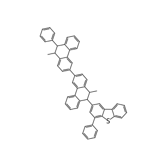 CC1c2ccc(-c3ccc4c(c3)-c3ccccc3C(c3cc(-c5ccccc5)c5sc6ccccc6c5c3)C4C)cc2-c2ccccc2C1c1ccccc1